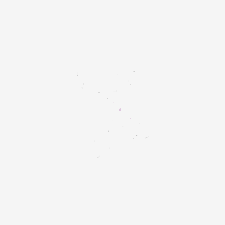 PC([C@@H]1CCC[C@@H]1C(P)(C12CC3CC(CC(C3)C1)C2)C12CC3CC(CC(C3)C1)C2)(C12CC3CC(CC(C3)C1)C2)C12CC3CC(CC(C3)C1)C2